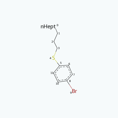 CCCCCCCCCCSc1ccc(Br)cc1